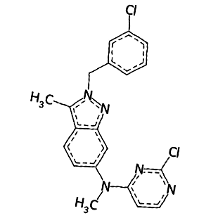 Cc1c2ccc(N(C)c3ccnc(Cl)n3)cc2nn1Cc1cccc(Cl)c1